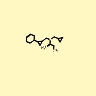 C=C(CC)N(CC1CC1)CC1CC1C1CC=CCC1